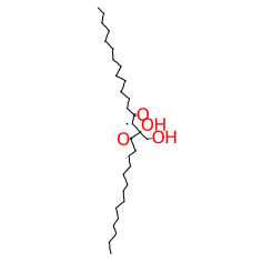 CCCCCCCCCCCCCC(=O)[CH]C(O)(CO)C(=O)CCCCCCCCCCCCC